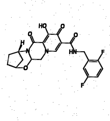 O=C(NCc1cc(F)ccc1F)c1cn2c(c(O)c1=O)C(=O)N1C(C2)OC2CC[C@H]1C2